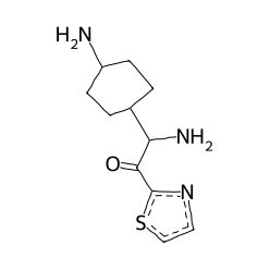 NC1CCC(C(N)C(=O)c2nccs2)CC1